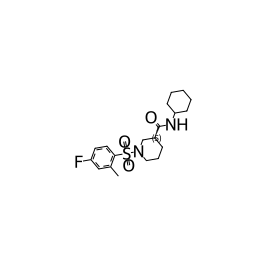 Cc1cc(F)ccc1S(=O)(=O)N1CCC[C@H](C(=O)NC2CCCCC2)C1